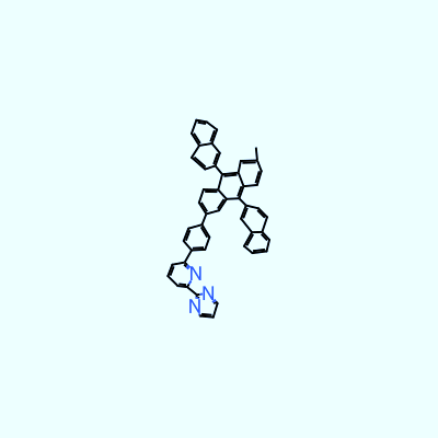 Cc1ccc2c(-c3ccc4ccccc4c3)c3cc(-c4ccc(-c5cccc(-c6ncccn6)n5)cc4)ccc3c(-c3ccc4ccccc4c3)c2c1